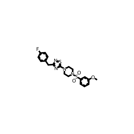 COc1cccc(S(=O)(=O)N2CCN(c3nc(Cc4ccc(F)cc4)ns3)CC2)c1